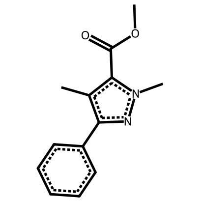 COC(=O)c1c(C)c(-c2ccccc2)nn1C